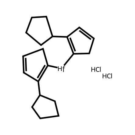 C1=CC(C2CCCC2)=[C]([Hf][C]2=C(C3CCCC3)C=CC2)C1.Cl.Cl